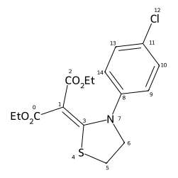 CCOC(=O)C(C(=O)OCC)=C1SCCN1c1ccc(Cl)cc1